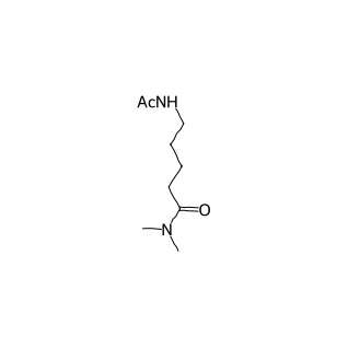 CC(=O)NCCCCC(=O)N(C)C